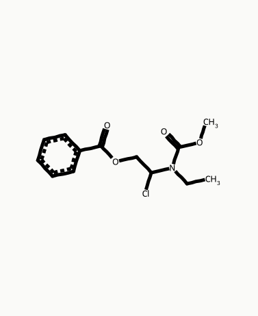 CCN(C(=O)OC)C(Cl)COC(=O)c1ccccc1